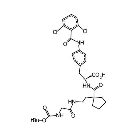 CC(C)(C)OC(=O)NCC(=O)NCCC1(C(=O)N[C@@H](Cc2ccc(NC(=O)c3c(Cl)cccc3Cl)cc2)C(=O)O)CCCC1